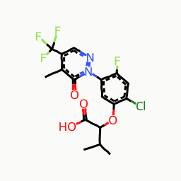 Cc1c(C(F)(F)F)cnn(-c2cc(OC(C(=O)O)C(C)C)c(Cl)cc2F)c1=O